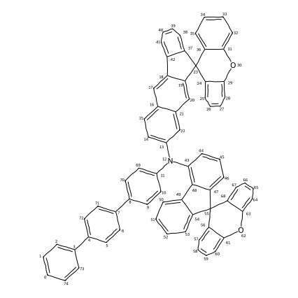 c1ccc(-c2ccc(-c3ccc(N(c4ccc5cc6c(cc5c4)C4(c5ccccc5Oc5ccccc54)c4ccccc4-6)c4cccc5c4-c4ccccc4C54c5ccccc5Oc5ccccc54)cc3)cc2)cc1